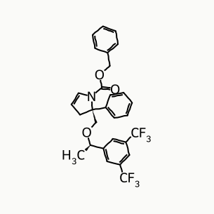 C[C@@H](OC[C@@]1(c2ccccc2)CC=CN1C(=O)OCc1ccccc1)c1cc(C(F)(F)F)cc(C(F)(F)F)c1